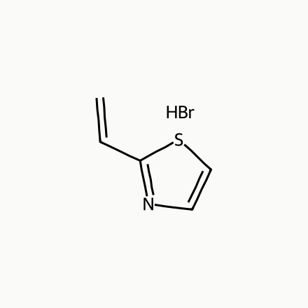 Br.C=Cc1nccs1